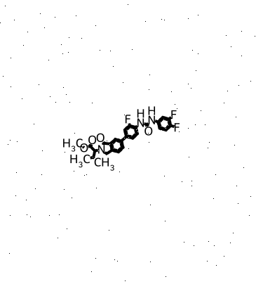 COC(=O)C(C(C)C)N1Cc2ccc(-c3ccc(NC(=O)Nc4ccc(F)c(F)c4)c(F)c3)cc2C1=O